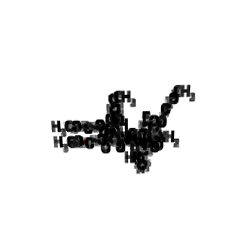 CCOCCOCCOC(=O)CC[C@H](NC(=O)[C@H](Cc1c[nH]c2ccccc12)NC(=O)[C@H](Cc1cccc(F)c1)NC(=O)CNC(=O)[C@H](CCC(=O)OCCOCCOCC)NC(=O)[C@@H](CC(=O)OCCOCCOCC)NS(=O)(=O)c1ccc(OC)cc1)C(N)=O